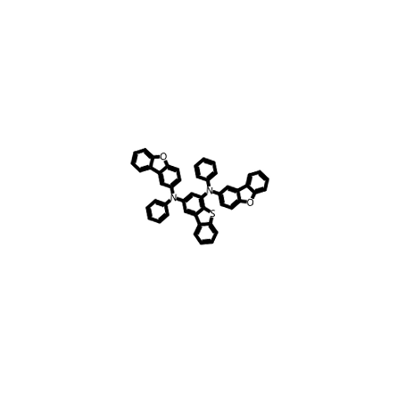 c1ccc(N(c2ccc3oc4ccccc4c3c2)c2cc(N(c3ccccc3)c3ccc4oc5ccccc5c4c3)c3sc4ccccc4c3c2)cc1